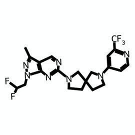 Cc1nn(CC(F)F)c2nc(N3CCC4(CCN(c5ccnc(C(F)(F)F)c5)C4)C3)ncc12